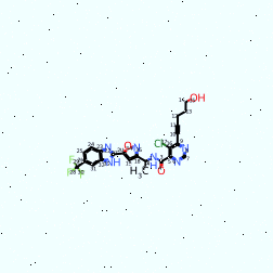 C[C@H](NC(=O)c1ncnc(C#CCCCO)c1Cl)c1cc(-c2nc3ccc(C(F)(F)F)cc3[nH]2)on1